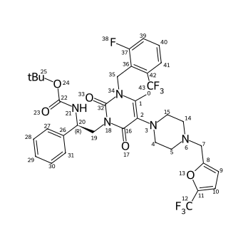 Cc1c(N2CCN(Cc3ccc(C(F)(F)F)o3)CC2)c(=O)n(C[C@H](NC(=O)OC(C)(C)C)c2ccccc2)c(=O)n1Cc1c(F)cccc1C(F)(F)F